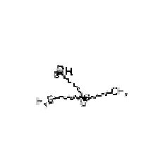 CCCCCCCCCCOC(=O)C(CCCCCCCCCC)CCCCCCCCCC(=O)O